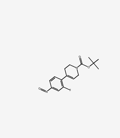 CC(C)(C)OC(=O)N1CC=C(c2ccc(N=O)cc2F)CC1